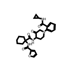 O=C(NC1(C(=O)NC2CCN(c3ccccc3C(=O)NC3CC3)CC2=O)CCCCC1)c1ccco1